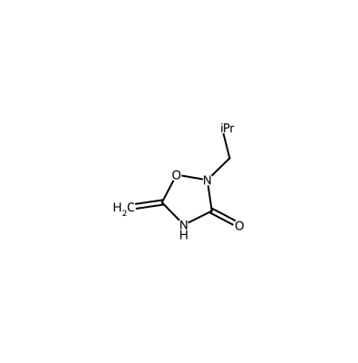 C=C1NC(=O)N(CC(C)C)O1